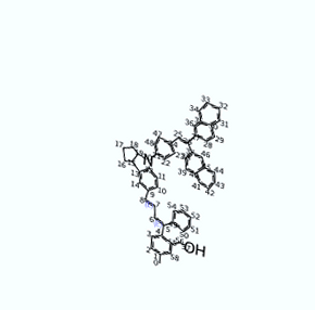 Cc1ccc(/C(=C/C=C/c2ccc3c(c2)C2CCCC2N3c2ccc(C=C(c3ccc4ccccc4c3)c3ccc4ccccc4c3)cc2)c2ccccc2)c(CO)c1